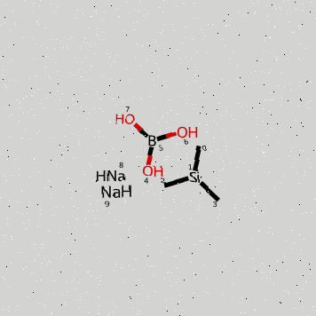 C[Si](C)C.OB(O)O.[NaH].[NaH]